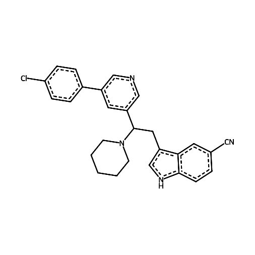 N#Cc1ccc2[nH]cc(CC(c3cncc(-c4ccc(Cl)cc4)c3)N3CCCCC3)c2c1